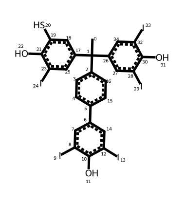 CC(c1ccc(-c2cc(I)c(O)c(I)c2)cc1)(c1cc(S)c(O)c(I)c1)c1cc(I)c(O)c(I)c1